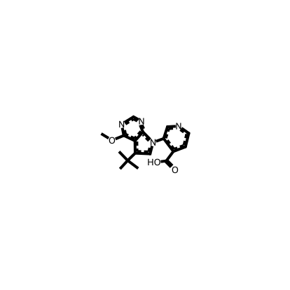 COc1ncnc2c1c(C(C)(C)C)cn2-c1cnccc1C(=O)O